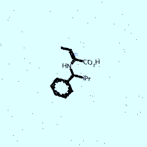 C/C=C(\NC(c1ccccc1)C(C)C)C(=O)O